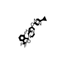 O=C(c1c(F)cccc1C(F)(F)F)N1CCN2C[C@H](Oc3cnc(C4CC4)cn3)C[C@H]2C1